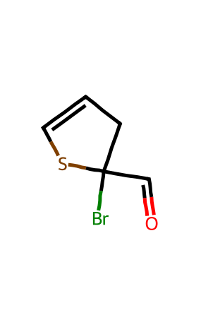 O=CC1(Br)CC=CS1